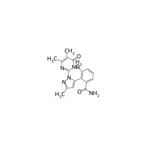 Cc1cc(-c2c(C)cccc2C(N)=O)n(-c2nc(C)c(C)c(=O)[nH]2)n1